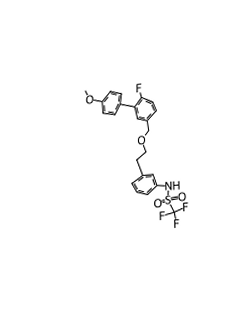 COc1ccc(-c2cc(COCCc3cccc(NS(=O)(=O)C(F)(F)F)c3)ccc2F)cc1